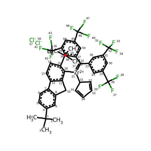 CC(C)(C)c1ccc2c(c1)Cc1c-2ccc(C(C)(C)C)[c]1[Zr+2](=[C](c1cc(C(F)(F)F)cc(C(F)(F)F)c1)c1cc(C(F)(F)F)cc(C(F)(F)F)c1)[CH]1C=CC=C1.[Cl-].[Cl-]